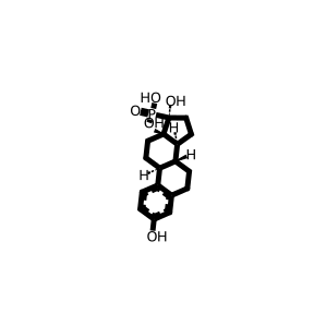 C[C@]12CC[C@@H]3c4ccc(O)cc4CC[C@H]3[C@@H]1CC[C@]2(O)P(=O)(O)O